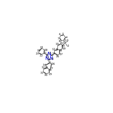 CC1(C)c2ccccc2-c2cc3cc(-c4nc(-c5ccccc5)nc(-c5ccc6ccccc6c5)n4)ccc3cc21